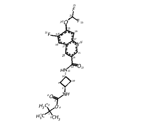 CC(C)(C)OC(=O)N[C@H]1C[C@H](NC(=O)c2cnc3cc(OC(F)F)c(F)cc3c2)C1